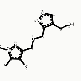 Cc1c(Br)c(COCc2nocc2CO)nn1C